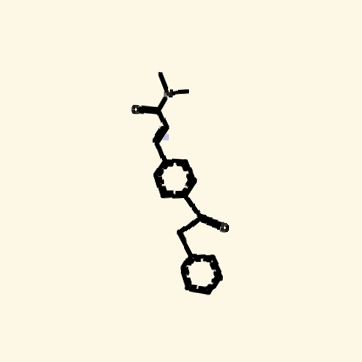 CN(C)C(=O)/C=C/c1ccc(C(=O)Cc2ccccc2)cc1